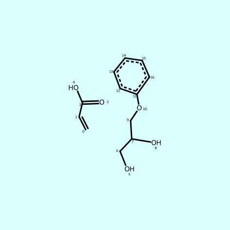 C=CC(=O)O.OCC(O)COc1ccccc1